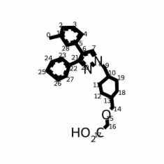 Cc1cccc(-c2cn(CC3CCC(COCC(=O)O)CC3)nc2-c2ccccc2)c1